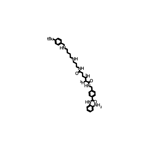 [3H]C(CCC(=O)NCCCNCCCCNCc1ccc(C(C)(C)C)cc1)C([3H])C(=O)NCc1ccc(C(=O)Nc2ccccc2N)cc1